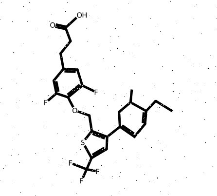 CCC1=CC=C(c2cc(C(F)(F)F)sc2COc2c(F)cc(CCC(=O)O)cc2F)CC1C